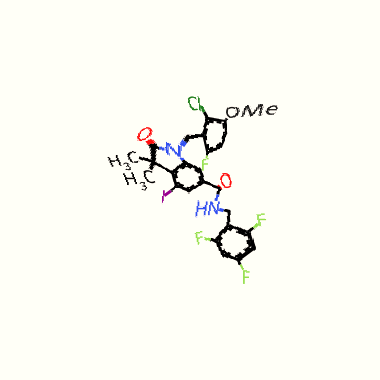 COc1ccc(F)c(CN2C(=O)C(C)(C)c3c(I)cc(C(=O)NCc4c(F)cc(F)cc4F)cc32)c1Cl